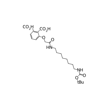 CC(C)(C)OC(=O)NCCCCCCCCNC(=O)COc1cccc(C(=O)O)c1C(=O)O